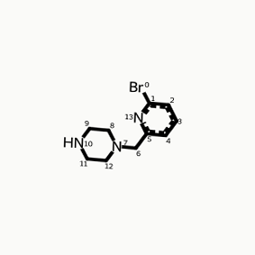 Brc1cccc(CN2CCNCC2)n1